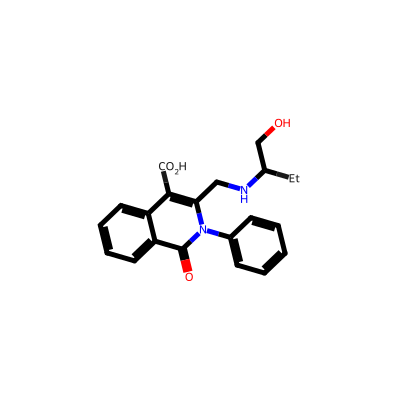 CCC(CO)NCc1c(C(=O)O)c2ccccc2c(=O)n1-c1ccccc1